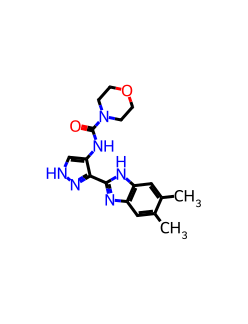 Cc1cc2nc(-c3n[nH]cc3NC(=O)N3CCOCC3)[nH]c2cc1C